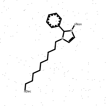 CCCCCCCCCCCCCCCCCCCN1C=CN(CCCCCCCCC)C1c1ccccc1